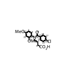 COc1ccc(N(CCCC(=O)O)C(=O)c2ccc(Cl)cc2)c(OC)c1